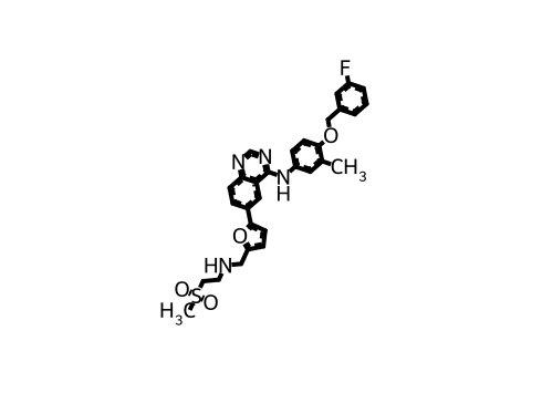 Cc1cc(Nc2ncnc3ccc(-c4ccc(CNCCS(C)(=O)=O)o4)cc23)ccc1OCc1cccc(F)c1